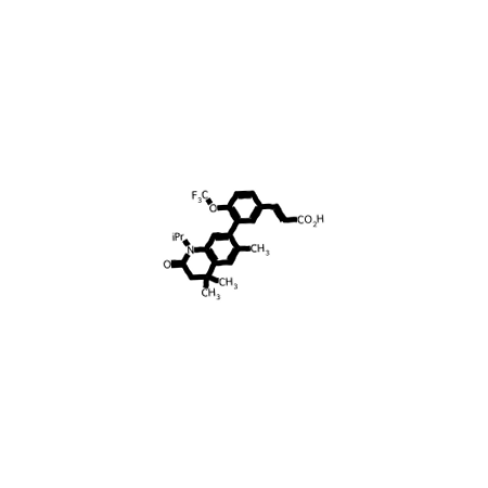 Cc1cc2c(cc1-c1cc(C=CC(=O)O)ccc1OC(F)(F)F)N(C(C)C)C(=O)CC2(C)C